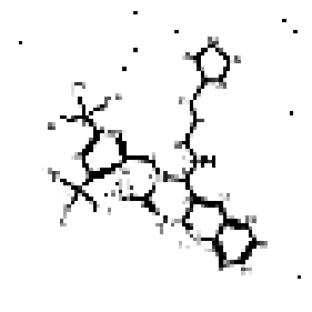 NC(=O)N(Cc1cc(C(F)(F)F)cc(C(F)(F)F)c1)C(NCCCC1CCCC1)c1cnc2ccccc2c1